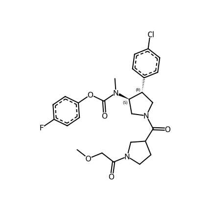 COCC(=O)N1CCC(C(=O)N2C[C@@H](N(C)C(=O)Oc3ccc(F)cc3)[C@H](c3ccc(Cl)cc3)C2)C1